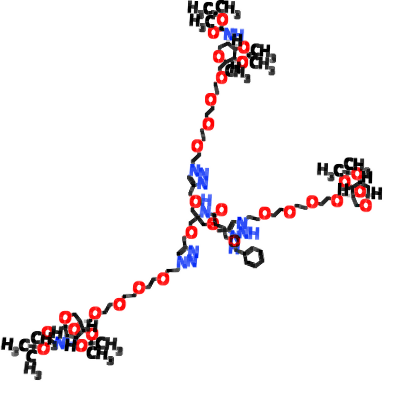 CC(C)(C)OC(=O)N[C@H]1[C@@H]2OC[C@](COCCOCCOCCOCCn3cc(COCC(COCC4=CN(CCOCCOCCOCCOC[C@]56CO[C@H](C[C@H]7OC(C)(C)O[C@H]75)O6)NN4)(COCc4cn(CCOCCOCCOCCOC[C@@]5(C)OC[C@H](NC(=O)OC(C)(C)C)[C@H]6OC(C)(C)O[C@H]65)nn4)NC(=O)CCCOCc4ccccc4)nn3)(O2)[C@@H]2OC(C)(C)O[C@H]12